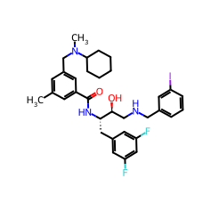 Cc1cc(CN(C)C2CCCCC2)cc(C(=O)N[C@@H](Cc2cc(F)cc(F)c2)[C@@H](O)CNCc2cccc(I)c2)c1